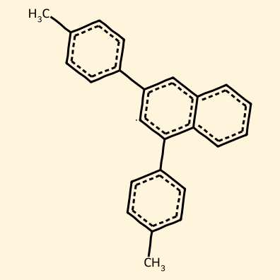 Cc1ccc(-c2[c]c(-c3ccc(C)cc3)c3ccccc3c2)cc1